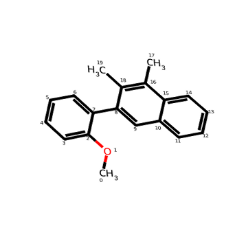 COc1ccccc1-c1cc2ccccc2c(C)c1C